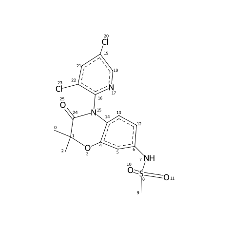 CC1(C)Oc2cc(NS(C)(=O)=O)ccc2N(c2ncc(Cl)cc2Cl)C1=O